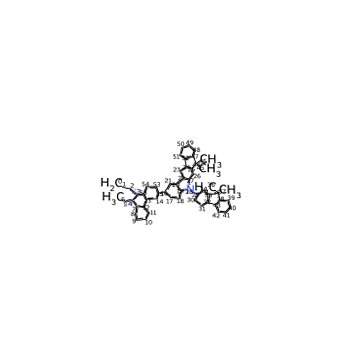 C=C/C=c1\c(=C/C)c2ccccc2c2cc(-c3ccc4c(c3)c3cc5c(cc3n4-c3ccc4c(c3)C(C)(C)c3ccccc3-4)C(C)(C)c3ccccc3-5)ccc12